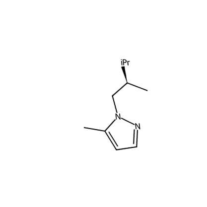 Cc1ccnn1C[C@H](C)C(C)C